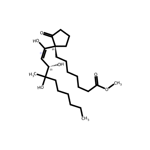 CCCCCCC(C)(O)[C@@H](O)/C=C(/O)[C@@]1(CCCCCCC(=O)OC)CCCC1=O